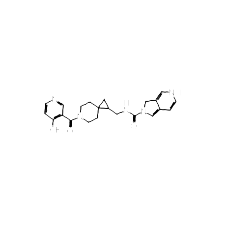 O=C(NCC1CC12CCN(C(=O)c1cnccc1C(F)(F)F)CC2)N1C=C2C=CNC=C2C1